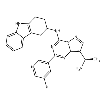 C[C@@H](N)c1cnn2c(NC3CCc4[nH]c5ccccc5c4C3)nc(-c3cncc(F)c3)nc12